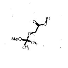 CCOC(=O)COC(C)(C)OC